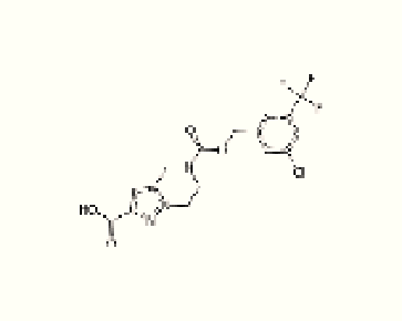 O=C(O)c1cc2n(n1)CCN(C(=O)OCc1cc(Cl)cc(C(F)(F)F)c1)C2